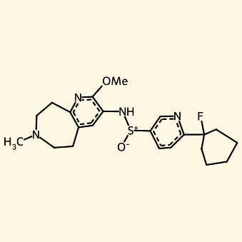 COc1nc2c(cc1N[S+]([O-])c1ccc(C3(F)CCCCC3)nc1)CCN(C)CC2